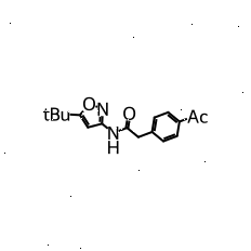 CC(=O)c1ccc(CC(=O)Nc2cc(C(C)(C)C)on2)cc1